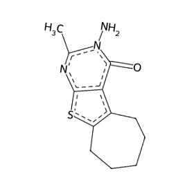 Cc1nc2sc3c(c2c(=O)n1N)CCCCC3